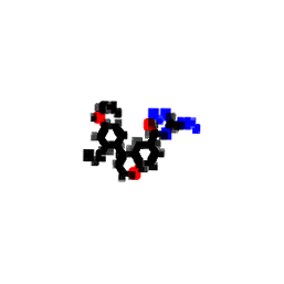 COc1ccc(C2=CCOc3ccc(C(=O)N=C(N)N)cc32)c(C)c1